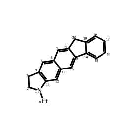 CCN1CCc2cc3cc4c(cc3cc21)-c1ccccc1C4